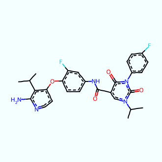 CC(C)c1c(Oc2ccc(NC(=O)c3cn(C(C)C)c(=O)n(-c4ccc(F)cc4)c3=O)cc2F)ccnc1N